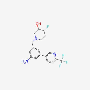 Nc1cc(CN2CC[C@@H](F)[C@H](O)C2)cc(-c2ccc(C(F)(F)F)nc2)c1